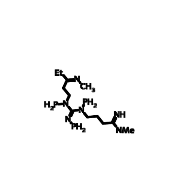 CCC(CCN(P)C(=NP)N(P)CCCC(=N)NC)=NC